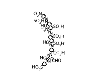 Nc1c(N=Nc2ccc3c(O)c(N=Nc4ccc(N=Nc5c(OC=O)nn(-c6ccc(S(=O)(=O)O)cc6)c5O)c(C(=O)O)c4)c(S(=O)(=O)O)cc3c2S(=O)(=O)O)cc(S(=O)(=O)O)c2ccc(N=Nc3ccc([N+](=O)[O-])cc3S(=O)(=O)O)c(O)c12